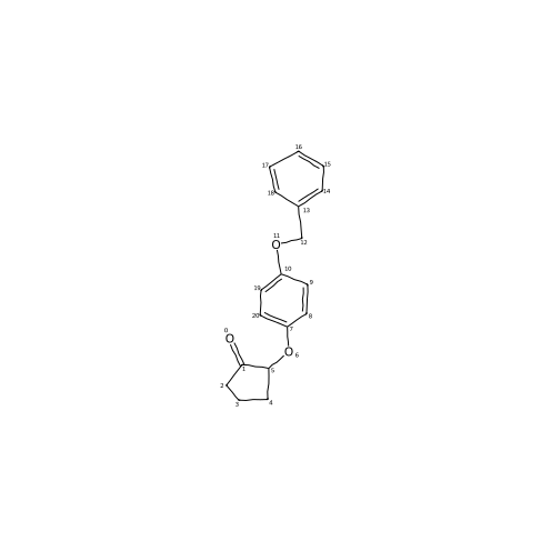 O=C1CCCC1Oc1ccc(OCc2ccccc2)cc1